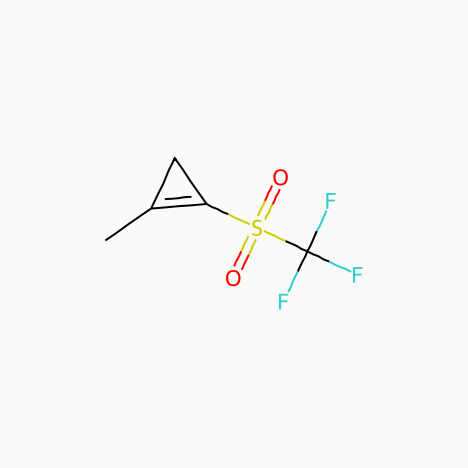 CC1=C(S(=O)(=O)C(F)(F)F)C1